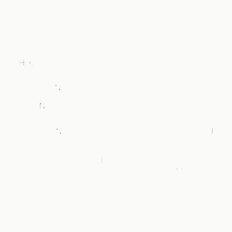 CCn1nnc2c(Cl)c(/C=C/C(=O)O)ccc21